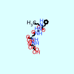 CCCC(=O)N[C@@H](Cc1ccccc1)C(=O)NCCNC(=O)CC[C@H](NC(=O)N[C@@H](CCC(=O)O)C(=O)O)C(=O)O